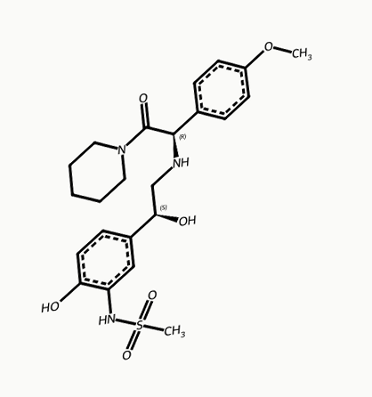 COc1ccc([C@@H](NC[C@@H](O)c2ccc(O)c(NS(C)(=O)=O)c2)C(=O)N2CCCCC2)cc1